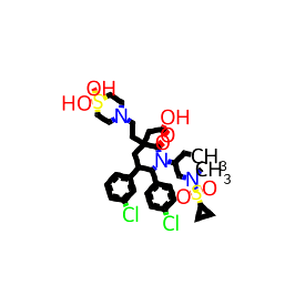 CCC(CN(C)S(=O)(=O)C1CC1)N1C(=O)C(CCN2CCS(O)(O)CC2)(CC(=O)O)CC(c2cccc(Cl)c2)C1c1ccc(Cl)cc1